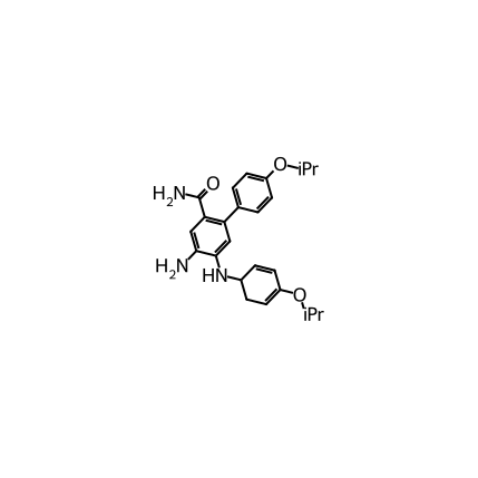 CC(C)OC1=CCC(Nc2cc(-c3ccc(OC(C)C)cc3)c(C(N)=O)cc2N)C=C1